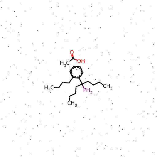 CC(=O)O.CCCCc1ccccc1C(P)(CCCC)CCCC